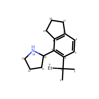 CCC(C)(C)c1ccc2c(c1C1CCCN1)CCC2